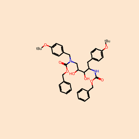 CC(C)(C)Oc1ccc(CC(NC(=O)OCc2ccccc2)C(O)C(O)CN(Cc2ccc(OC(C)(C)C)cc2)C(=O)OCc2ccccc2)cc1